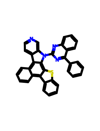 c1ccc(-c2nc(-n3c4cnccc4c4c5ccccc5c5c6ccccc6sc5c43)nc3ccccc23)cc1